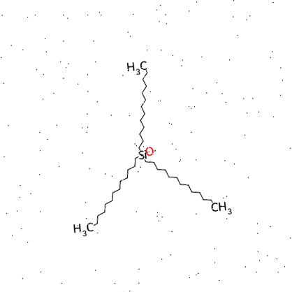 CCCCCCCCCCCCC[Si]([O])(CCCCCCCCCCCCC)CCCCCCCCCCCCC